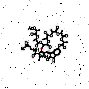 CCN(CC)CCNC(=O)c1c(C)[nH]c(/C=C2\C(=O)Nc3ccc(OC(=O)C(C)OC(=O)C(C)OC(=O)C(C)OC(=O)C(C)OC(=O)C(C)OC(=O)C(C)OC(=O)C(C)OC(C)=O)cc32)c1C